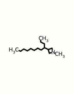 CCCCCCCCC(CCC)C1CN(C)C1